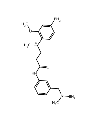 Bc1ccc([C@@H](C)CCC(=O)Nc2cccc(CN(B)C)c2)c(OC)c1